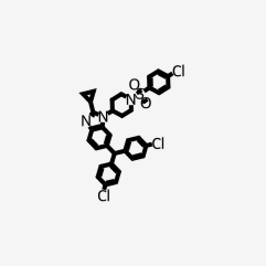 O=S(=O)(c1ccc(Cl)cc1)N1CCC(n2c(C3CC3)nc3ccc(C(c4ccc(Cl)cc4)c4ccc(Cl)cc4)cc32)CC1